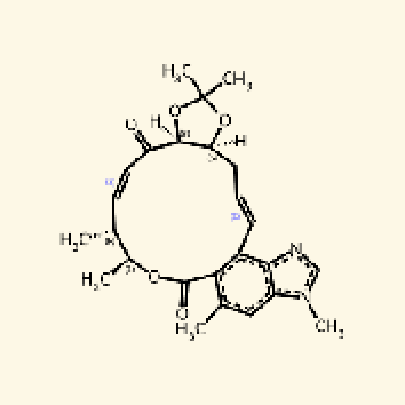 Cc1cc2c(ncn2C)c2c1C(=O)O[C@@H](C)[C@H](C)/C=C\C(=O)[C@H]1OC(C)(C)O[C@H]1C/C=C/2